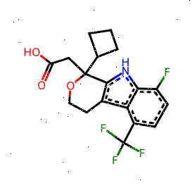 O=C(O)CC1(C2CCC2)OCCc2c1[nH]c1c(F)ccc(C(F)(F)F)c21